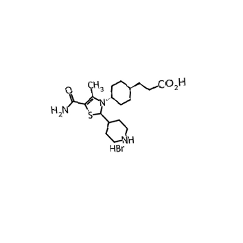 Br.CC1=C(C(N)=O)SC(C2CCNCC2)N1[C@H]1CC[C@H](CCC(=O)O)CC1